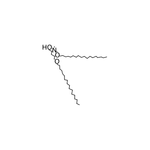 CCCCCCCCCCCCCCCCCCOCC(CC(CO)N(C)C)OCCCCCCCCCCCCCCCCCC